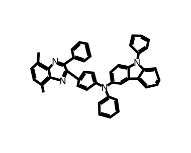 Cc1ccc(C)c2nc(-c3ccc(N(c4ccccc4)c4ccc5c(c4)c4ccccc4n5-c4ccccc4)cc3)c(-c3ccccc3)nc12